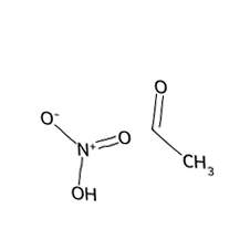 CC=O.O=[N+]([O-])O